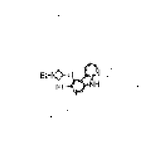 CCN1CC(Oc2c(C#N)ncc3[nH]c4ncccc4c23)C1